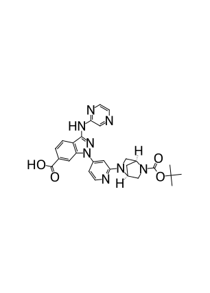 CC(C)(C)OC(=O)N1C[C@@H]2C[C@H]1CN2c1cc(-n2nc(Nc3cnccn3)c3ccc(C(=O)O)cc32)ccn1